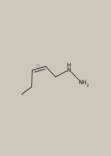 CC/C=C\CNN